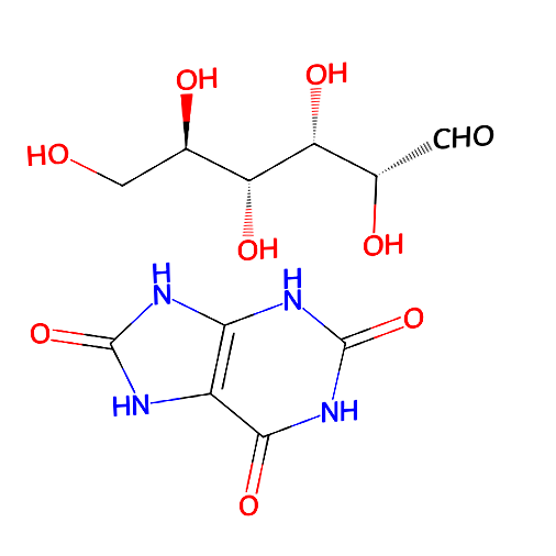 O=C[C@H](O)[C@@H](O)[C@H](O)[C@H](O)CO.O=c1[nH]c(=O)c2[nH]c(=O)[nH]c2[nH]1